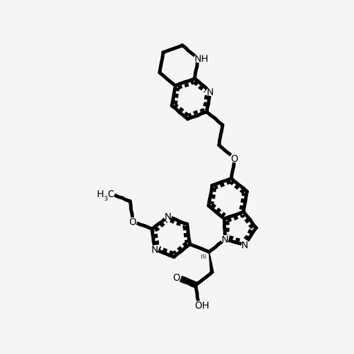 CCOc1ncc([C@H](CC(=O)O)n2ncc3cc(OCCc4ccc5c(n4)NCCC5)ccc32)cn1